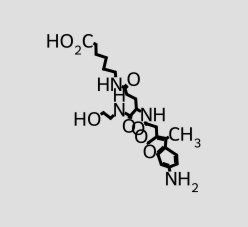 Cc1c(CC(=O)NC(CCC(=O)NCCCCCC(=O)O)C(=O)NCCO)c(=O)oc2cc(N)ccc12